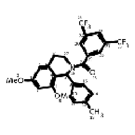 COc1cc2c(c(OC)c1)C(c1ccc(C)cc1)N(C(=O)c1cc(C(F)(F)F)cc(C(F)(F)F)c1)CC2